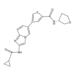 O=C(N[C@@H]1CCOC1)c1cc(-c2ccc3nc(NC(=O)C4CC4)cn3c2)cs1